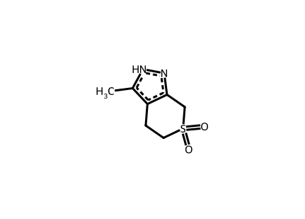 Cc1[nH]nc2c1CCS(=O)(=O)C2